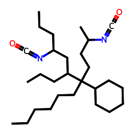 CCCCCCC(CCC(C)N=C=O)(C1CCCCC1)C(CCC)CC(CCC)N=C=O